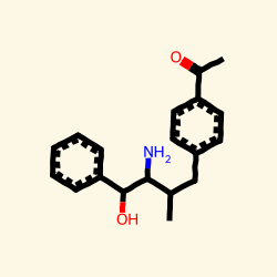 CC(=O)c1ccc(CC(C)C(N)C(O)c2ccccc2)cc1